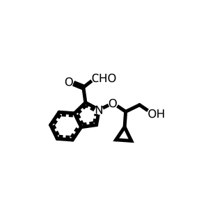 O=CC(=O)c1c2ccccc2cn1OC(CO)C1CC1